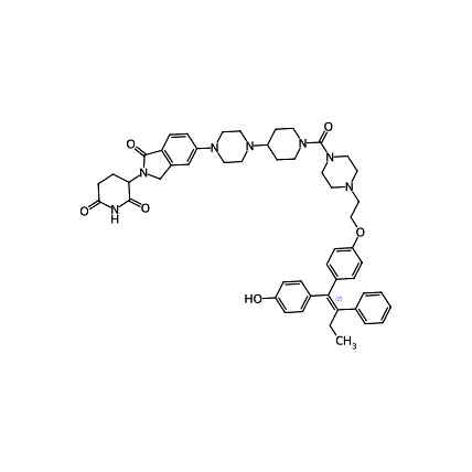 CC/C(=C(\c1ccc(O)cc1)c1ccc(OCCN2CCN(C(=O)N3CCC(N4CCN(c5ccc6c(c5)CN(C5CCC(=O)NC5=O)C6=O)CC4)CC3)CC2)cc1)c1ccccc1